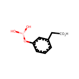 O=C(O)Cc1cccc(OB(O)O)c1